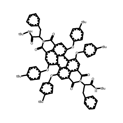 CC(C)(C)NC(=O)C(Cc1ccccc1)N1C(=O)c2cc(Oc3ccc(C(C)(C)C)cc3)c3c4c(Oc5ccc(C(C)(C)C)cc5)cc5c6c(cc(Oc7ccc(C(C)(C)C)cc7)c(c7c(Oc8ccc(C(C)(C)C)cc8)cc(c2c37)C1=O)c64)C(=O)N(C(Cc1ccccc1)C(=O)NC(C)(C)C)C5=O